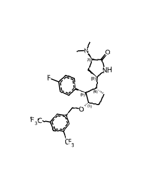 CN(C)[C@@H]1C[C@H]([C@@H]2CC[C@H](OCc3cc(C(F)(F)F)cc(C(F)(F)F)c3)[C@H]2c2ccc(F)cc2)NC1=O